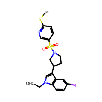 CC(C)Sc1ccc(S(=O)(=O)N2CCC(c3cn(CC=O)c4ccc(I)cc34)C2)cn1